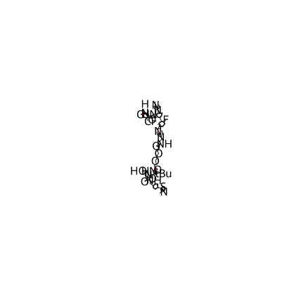 Cc1ncsc1-c1ccc(CNC(=O)[C@@H]2C[C@@H](O)CN2C(=O)C(NC(=O)CCOCCOCCC(=O)NCCN2CCN(Cc3ccc(F)c(-c4ccc(N5C[C@@H](C)N(C)[C@@H](C)C5)c(NC(=O)c5c[nH]c(=O)cc5C(F)(F)F)c4)c3)CC2)C(C)(C)C)cc1